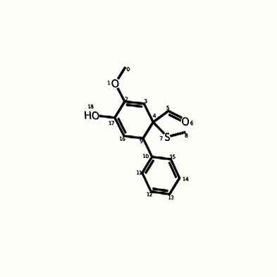 COC1=CC(C=O)(SC)C(c2ccccc2)C=C1O